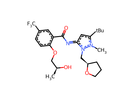 C[C@H](O)COc1ccc(C(F)(F)F)cc1C(=O)N=c1cc(C(C)(C)C)n(C)n1C[C@H]1CCCO1